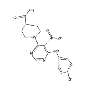 O=C(O)C1CCN(c2ncnc(Nc3ccc(Br)cc3)c2[N+](=O)[O-])CC1